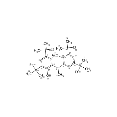 CCC(C)(C)c1cc(C(C)c2cc(C(C)(C)CC)cc(C(C)(C)CC)c2OC(C)=O)c(O)c(C(C)(C)CC)c1